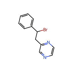 BrC(Cc1cnccn1)c1ccccc1